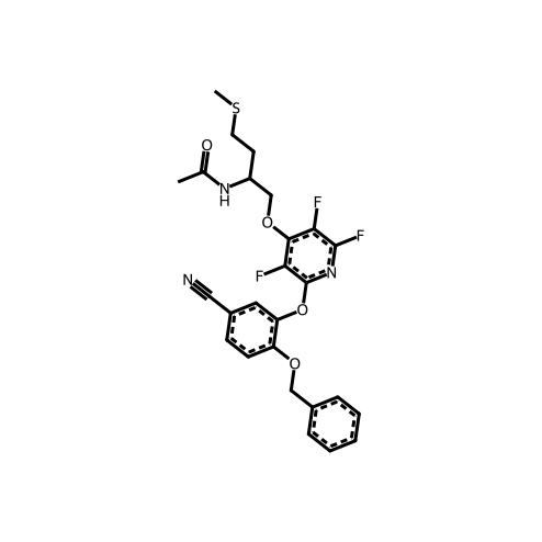 CSCCC(COc1c(F)c(F)nc(Oc2cc(C#N)ccc2OCc2ccccc2)c1F)NC(C)=O